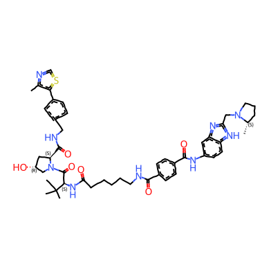 Cc1ncsc1-c1ccc(CNC(=O)[C@@H]2C[C@@H](O)CN2C(=O)[C@@H](NC(=O)CCCCCNC(=O)c2ccc(C(=O)Nc3ccc4[nH]c(CN5CCC[C@@H]5C)nc4c3)cc2)C(C)(C)C)cc1